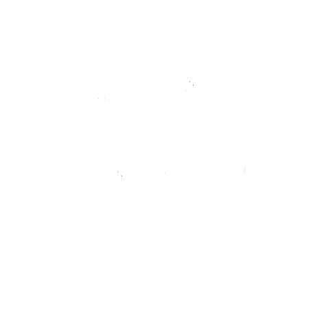 Cc1cc(Cl)c2cccc(OCc3c(Cl)ccc(N)c3Cl)c2n1.Cl.Cl